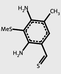 CSc1c(N)c(C)cc(C=S)c1N